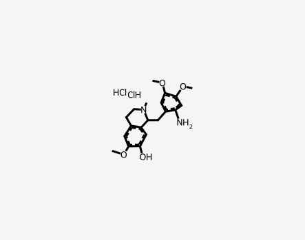 COc1cc2c(cc1O)C(Cc1cc(OC)c(OC)cc1N)N(C)CC2.Cl.Cl